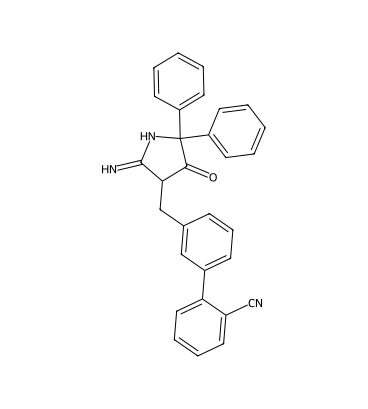 N#Cc1ccccc1-c1cccc(CC2C(=N)NC(c3ccccc3)(c3ccccc3)C2=O)c1